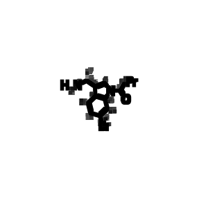 CC(C)C(=O)n1cc([C@@H](C)N)c2ccc(Br)cc21